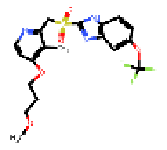 COCCCOc1ccnc(CS(=O)(=O)c2nc3cc(OC(F)(F)F)ccc3[nH]2)c1C